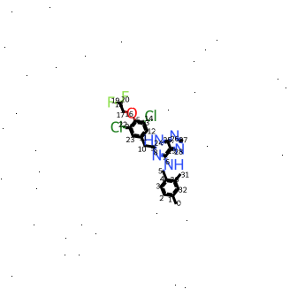 Cc1ccc(CNc2nc(Cc3cc(Cl)c(OCC(F)F)c(Cl)c3)[nH]c3ncnc2-3)c(C)c1